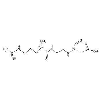 N=C(N)NCCC[C@H](N)C(=O)NCCN[C@H]([C]=O)CC(=O)O